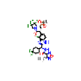 CCS(=O)(=O)CC[C@@H](C(=O)N1CC(F)(F)C(F)(F)C1)c1ccc2[nH]c([C@@H](NC(=O)c3nonc3C)C3CCC(F)(F)CC3)nc2c1F